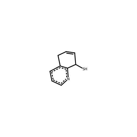 SC1C=CCc2cccnc21